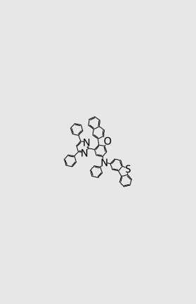 c1ccc(-c2cc(-c3ccccc3)nc(-c3cc(N(c4ccccc4)c4ccc5sc6ccccc6c5c4)cc4oc5cc6ccccc6cc5c34)n2)cc1